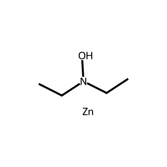 CCN(O)CC.[Zn]